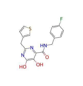 O=C(NCc1ccc(F)cc1)c1nc(Cc2ccsc2)nc(O)c1O